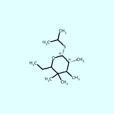 CCC1O[C@H](SC(C)C)[C@H](C)C(C)C1(C)C